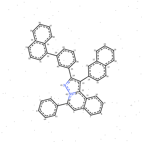 c1ccc(-c2cc3ccccc3c3c(-c4ccc5ccccc5c4)c(-c4cccc(-c5cccc6ccccc56)c4)nn23)cc1